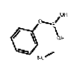 CC#N.OB(O)Oc1ccccc1